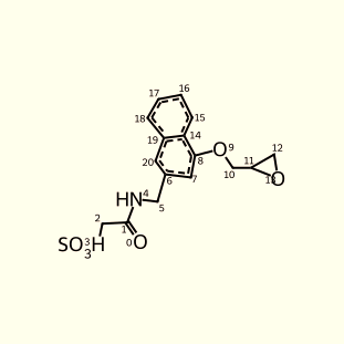 O=C(CS(=O)(=O)O)NCc1cc(OCC2CO2)c2ccccc2c1